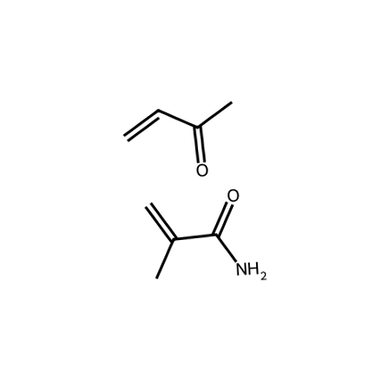 C=C(C)C(N)=O.C=CC(C)=O